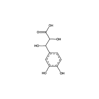 O=C(O)C(O)C(O)c1ccc(O)c(O)c1